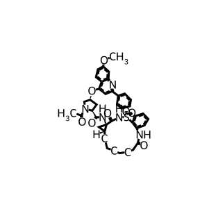 COc1ccc2c(O[C@@H]3C[C@@H](C(=O)N[C@]45C[C@H]4CCCCCCC(=O)Nc4ccccc4S(=O)(=O)NC5=O)N(C(C)=O)C3)cc(-c3ccccc3)nc2c1